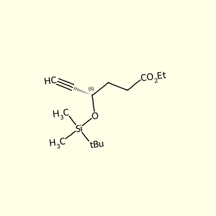 C#C[C@H](CCC(=O)OCC)O[Si](C)(C)C(C)(C)C